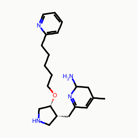 CC1=CC(C[C@@H]2CNC[C@@H]2OCCCCCc2ccccn2)=NC(N)C1